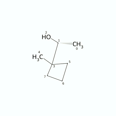 C[C@@H](O)C1(C)CCC1